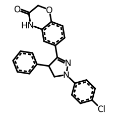 O=C1COc2ccc(C3=NN(c4ccc(Cl)cc4)CC3c3ccccc3)cc2N1